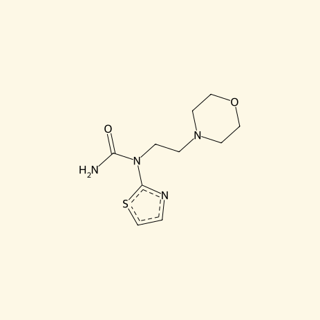 NC(=O)N(CCN1CCOCC1)c1nccs1